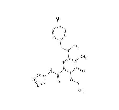 CCOc1c(C(=O)Nc2cnoc2)nc(N(C)Cc2ccc(Cl)cc2)n(C)c1=O